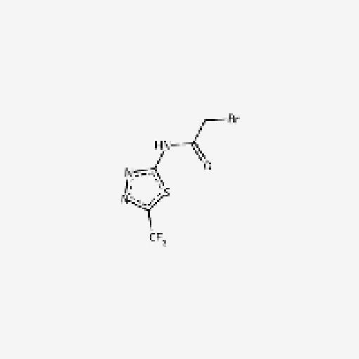 O=C(CBr)Nc1nnc(C(F)(F)F)s1